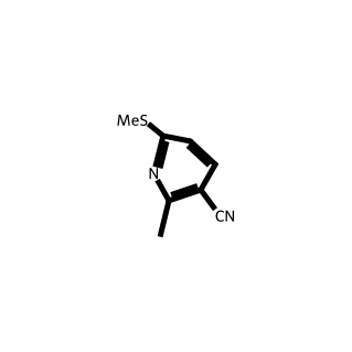 CSc1ccc(C#N)c(C)n1